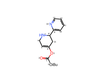 CC(C)COC(=O)OC1=CCNC(c2ccccn2)C1